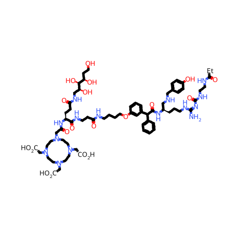 CCC(=O)NCCNC(=O)/N=C(/N)NCCC[C@H](CNCc1ccc(O)cc1)NC(=O)C(c1ccccc1)c1cccc(OCCCCNC(=O)CCNC(=O)[C@H](CCC(=O)NC[C@H](O)[C@@H](O)[C@H](O)CCO)NC(=O)CN2CCN(CC(=O)O)CCN(CC(=O)O)CCN(CC(=O)O)CC2)c1